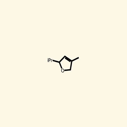 CC1=CC(C(C)C)OC1